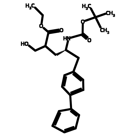 CCOC(=O)C(CO)C[C@@H](Cc1ccc(-c2ccccc2)cc1)NC(=O)OC(C)(C)C